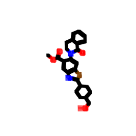 COC(=O)c1cc2nc(C3CCC(CO)CC3)sc2cc1N1CCc2ccccc2C1=O